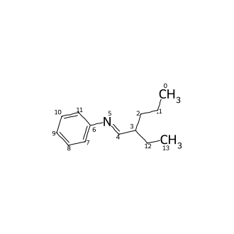 C[CH]CC(C=Nc1ccccc1)CC